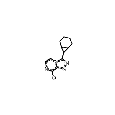 Clc1nccn2c(C3C4CCCCC43)nnc12